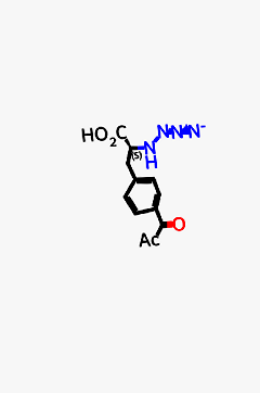 CC(=O)C(=O)c1ccc(C[C@H](NN=[N+]=[N-])C(=O)O)cc1